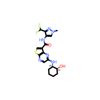 Cn1cc(NC(=O)c2csc3ncc(N[C@@H]4CCCC[C@@H]4O)nc23)c(C(F)F)n1